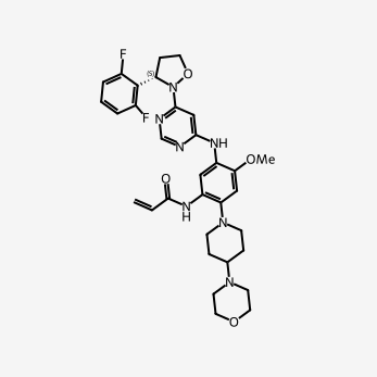 C=CC(=O)Nc1cc(Nc2cc(N3OCC[C@H]3c3c(F)cccc3F)ncn2)c(OC)cc1N1CCC(N2CCOCC2)CC1